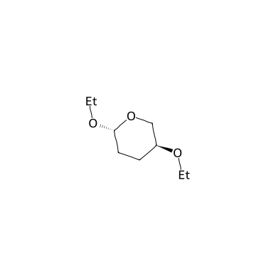 CCO[C@H]1CC[C@H](OCC)OC1